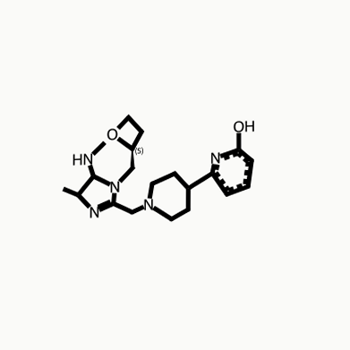 CNC1C(C)N=C(CN2CCC(c3cccc(O)n3)CC2)N1C[C@@H]1CCO1